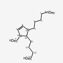 CCCCCCCCCCCCCCN1C=CN(CCCCCCCCCC)C1CCCCCCCCCCCCC